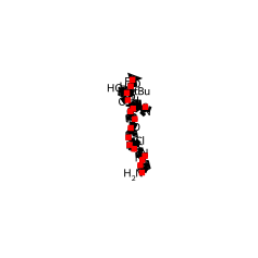 Cc1ncsc1-c1ccc(CNC(=O)[C@@H]2C[C@@H](O)CN2C(=O)[C@@H](NC(=O)C2(F)CC2)C(C)(C)C)c(OC2CCN(C(=O)CC3CCN(c4nccc(Sc5cnc(N6CCC(C)(CN)CC6)cn5)c4Cl)CC3)CC2)c1